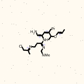 C/C=C/OC(C)/C(=C\C(=C/N)N/C(CC/N=C(\C)CCl)=N/CNC)C(C)C